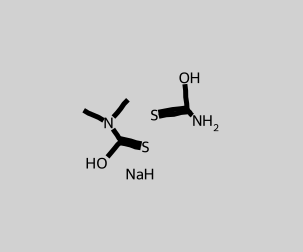 CN(C)C(O)=S.NC(O)=S.[NaH]